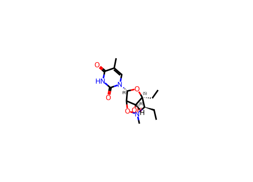 CC[C@H]1N(C)OC2[C@H](n3cc(C)c(=O)[nH]c3=O)O[C@]1(CC)[C@@H]2O